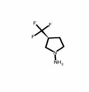 NN1CC[C@H](C(F)(F)F)C1